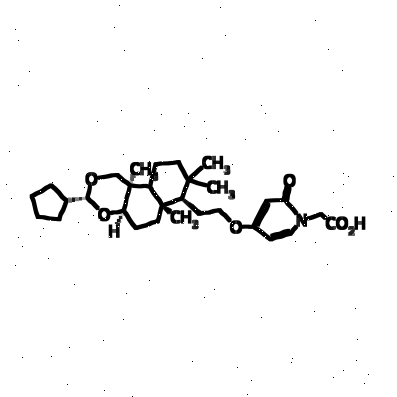 CC1(C)CCC2[C@]3(C)CO[C@@H](C4CCCC4)O[C@@H]3CC[C@@]2(C)[C@@H]1CCOc1ccn(CC(=O)O)c(=O)c1